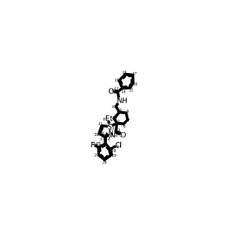 CCS1(C2(C(N)=O)CCCC(CNC(=O)c3ccccc3)C2)C=CC(c2c(F)cccc2Cl)=N1